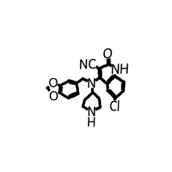 N#Cc1c(N(Cc2ccc3c(c2)OCO3)C2CCNCC2)c2cc(Cl)ccc2[nH]c1=O